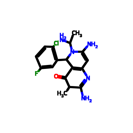 CC1C(=O)C2=C(C=C(N)N(C(C)N)C2c2cc(F)ccc2Cl)N=C1N